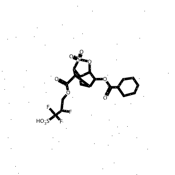 O=C(OC1C2CC3C1OS(=O)(=O)C3C2C(=O)OCC(F)C(F)(F)S(=O)(=O)O)C1CCCCC1